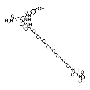 CC(C)[C@H](NC(=O)CCOCCOCCOCCOCCOCCOCCOCCOCCNC(=O)CCN1C(=O)C=CC1=O)C(=O)N[C@@H](CCCNC(N)=O)C(=O)Nc1ccc(CO)cc1